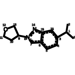 CC(C)c1ccc2cn(C3CCOC3)nc2c1